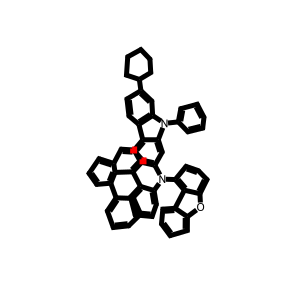 c1ccc(-c2cccc3cccc(-c4ccccc4N(c4ccc5c6ccc(C7CCCCC7)cc6n(-c6ccccc6)c5c4)c4cccc5oc6ccccc6c45)c23)cc1